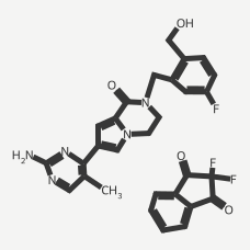 Cc1cnc(N)nc1-c1cc2n(c1)CCN(Cc1cc(F)ccc1CO)C2=O.O=C1c2ccccc2C(=O)C1(F)F